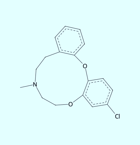 CN1CCOc2cc(Cl)ccc2Oc2ccccc2CC1